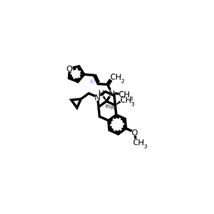 C=C(/C=C/c1ccoc1)N(C)[C@H]1C2Cc3ccc(OC)cc3[C@@]1(C)CCN2CC1CC1